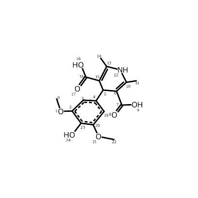 COc1cc(C2C(C(=O)O)=C(C)NC(C)=C2C(=O)O)cc(OC)c1O